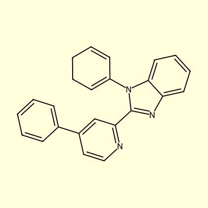 C1=CC(n2c(-c3cc(-c4ccccc4)ccn3)nc3ccccc32)=CCC1